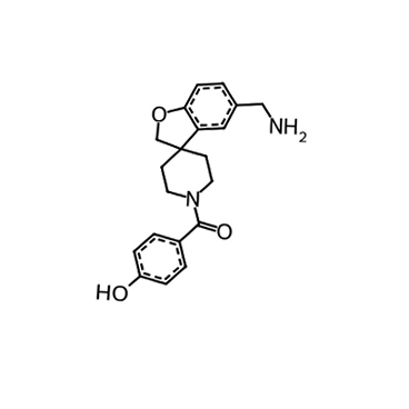 NCc1ccc2c(c1)C1(CCN(C(=O)c3ccc(O)cc3)CC1)CO2